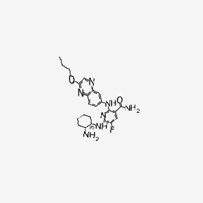 CCCOc1cnc2cc(Nc3nc(N[C@@H]4CCCCC4N)c(F)cc3C(N)=O)ccc2n1